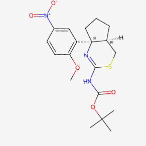 COc1ccc([N+](=O)[O-])cc1[C@]12CCC[C@H]1CSC(NC(=O)OC(C)(C)C)=N2